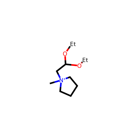 CCOC(C[N+]1(C)CCCC1)OCC